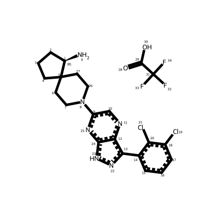 N[C@@H]1CCCC12CCN(c1cnc3c(-c4cccc(Cl)c4Cl)n[nH]c3n1)CC2.O=C(O)C(F)(F)F